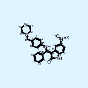 O=C1Nc2ccc([N+](=O)[O-])cc2C1=C(Nc1ccc(CN2CCSCC2)cc1)c1ccccc1